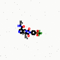 CNC(=O)c1cnccc1CN1C(=O)N(c2ccc(S(=O)(=O)C(F)(F)F)cc2)C(=O)C1(C)C